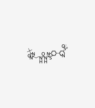 C[S+]([O-])c1cncc(-c2ccc3nc(NC(=O)NCCc4noc(C(C)(C)C)n4)sc3c2)c1